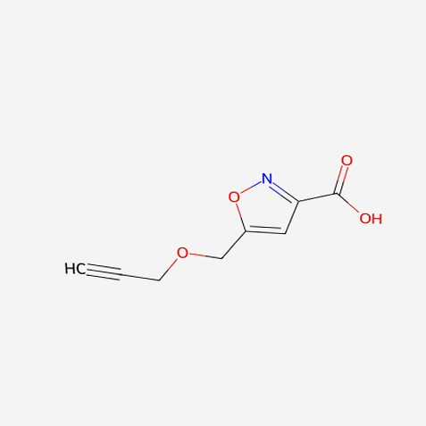 C#CCOCc1cc(C(=O)O)no1